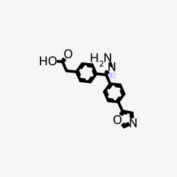 N/N=C(\c1ccc(CC(=O)O)cc1)c1ccc(-c2cnco2)cc1